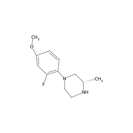 COc1ccc(N2CCN[C@@H](C)C2)c(F)c1